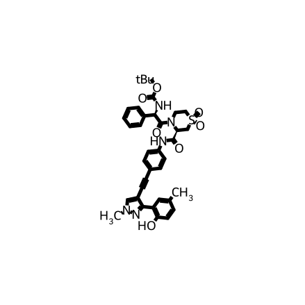 Cc1ccc(O)c(-c2nn(C)cc2C#Cc2ccc(NC(=O)[C@@H]3CS(=O)(=O)CCN3C(=O)[C@H](NC(=O)OC(C)(C)C)c3ccccc3)cc2)c1